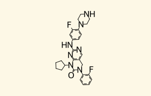 O=C1N(c2ccccc2F)Cc2cnc(Nc3ccc(N4CCNCC4)c(F)c3)nc2N1C1CCCC1